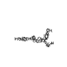 Cc1c(COc2cc(OCc3cncc(C#N)c3)c(CN3CCN(CCO)CC3)cc2Cl)cccc1-c1cccc(OCCCN2CCN(CCO)CC2)c1Cl